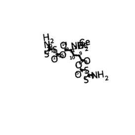 NC(=S)SC(=O)OC(=O)CC[C@H](N)C(=O)OC(=O)SC(N)=S.[Ce].[Ce]